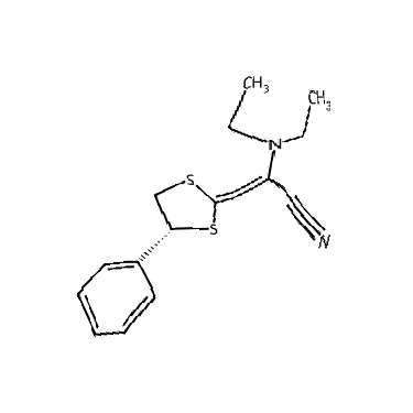 CCN(CC)/C(C#N)=C1\SC[C@@H](c2ccccc2)S1